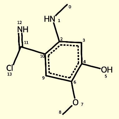 CNc1cc(O)c(OC)cc1C(=N)Cl